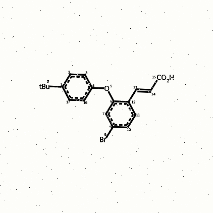 CC(C)(C)c1ccc(Oc2cc(Br)ccc2/C=C/C(=O)O)cc1